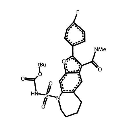 CNC(=O)c1c(-c2ccc(F)cc2)oc2cc3c(cc12)CCCCN3S(=O)(=O)NC(=O)OC(C)(C)C